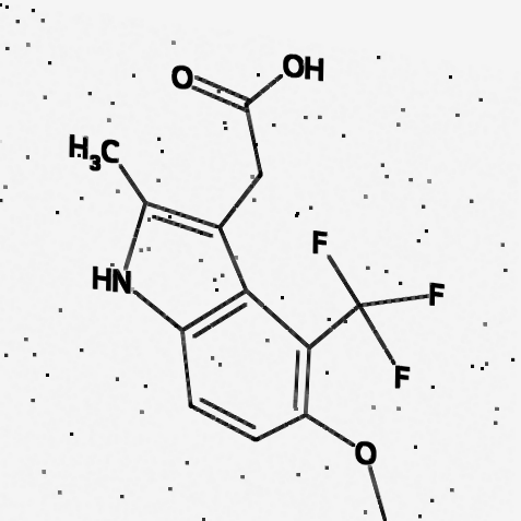 COc1ccc2[nH]c(C)c(CC(=O)O)c2c1C(F)(F)F